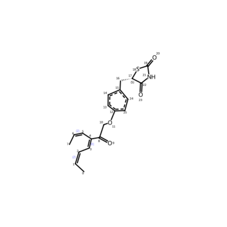 C\C=C/C=C(\C=C/C)C(=O)COc1ccc(C[C@@H]2SC(=O)NC2=O)cc1